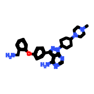 CN1CCN(C2CCC(n3nc(-c4ccc(Oc5ccccc5CN)cc4)c4c(N)ncnc43)CC2)CC1